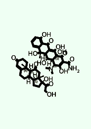 CN(C)[C@@H]1C(O)=C(C(N)=O)C(=O)[C@@]2(O)C(O)=C3C(=O)c4c(O)cccc4[C@@](C)(O)[C@H]3[C@H](O)[C@@H]12.C[C@]12CCC(=O)C=C1CC[C@@H]1[C@@H]2C(=O)C[C@@]2(C)[C@H]1CC[C@]2(O)C(=O)CO